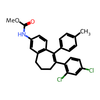 COC(=O)Nc1ccc2c(c1)CCCC(c1ccc(Cl)cc1Cl)=C2c1ccc(C)cc1